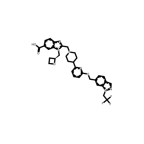 O=C(O)c1ccc2nc(CN3CCC(c4cccc(OCc5ccc6cnn(CC(F)(F)F)c6c5)n4)CC3)n(C[C@@H]3CCO3)c2c1